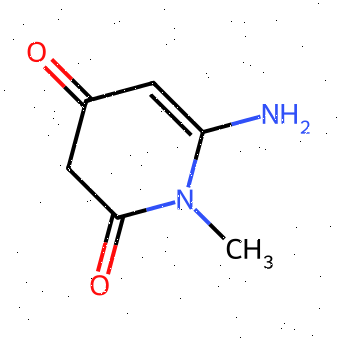 CN1C(=O)CC(=O)C=C1N